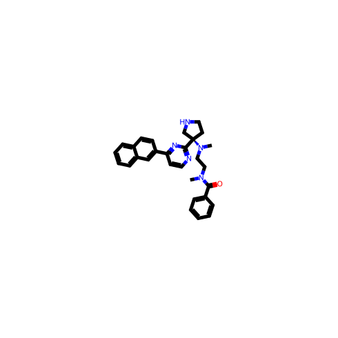 CN(CCN(C)[C@]1(c2nccc(-c3ccc4ccccc4c3)n2)CCNC1)C(=O)c1ccccc1